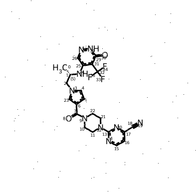 C[C@@H](Cn1ccc(C(=O)N2CCN(c3nccc(C#N)n3)CC2)c1)Nc1cn[nH]c(=O)c1C(F)(F)F